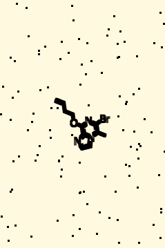 C=CCCOc1nc(Br)c(C)n2ccnc12